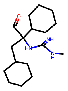 CNC(=N)NC(C=O)(CC1CCCCC1)C1CCCCC1